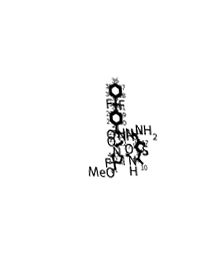 COC[C@@]1(F)C[C@@H](C(=O)NC(C)c2cc(C(=N)N)cs2)N(C(=O)CNC(=O)c2ccc(C(F)(F)c3ccccc3)cc2)C1